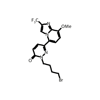 COc1ccc(-c2ccc(=O)n(CCCCBr)n2)n2cc(C(F)(F)F)nc12